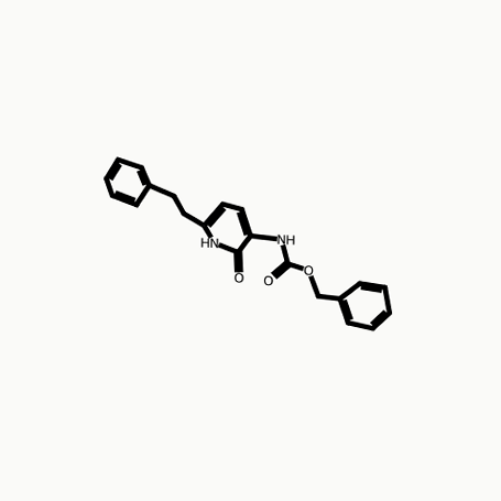 O=C(Nc1ccc(CCc2ccccc2)[nH]c1=O)OCc1ccccc1